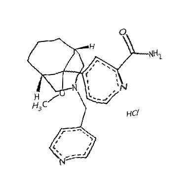 COC1(c2ccnc(C(N)=O)c2)[C@@H]2CCC[C@H]1CN(Cc1ccncc1)C2.Cl